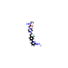 CC(C)NC(=O)CN1CCN(CCc2ccc(-c3cccc(N)n3)cc2F)CC1